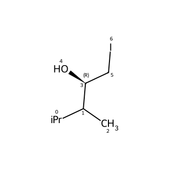 CC(C)C(C)[C@@H](O)CI